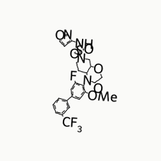 COc1cc(-c2cccc(C(F)(F)F)c2)cc(F)c1N1C(=O)COC2CN(S(=O)(=O)Nc3ccon3)CCC21